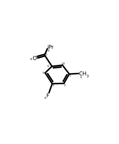 Cc1cc(F)cc(C(=O)C(C)C)c1